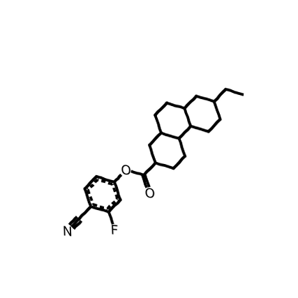 CCC1CCC2C(CCC3CC(C(=O)Oc4ccc(C#N)c(F)c4)CCC32)C1